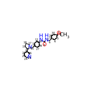 COc1ccc(CNC(=O)Nc2ccc(CN3CCCC3c3cccnc3)cc2)cc1